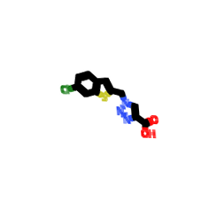 O=C(O)c1cn(Cc2cc3ccc(Cl)cc3s2)nn1